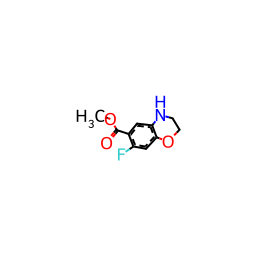 COC(=O)c1cc2c(cc1F)OCCN2